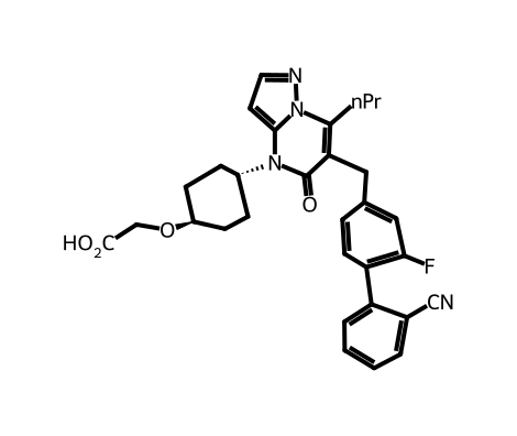 CCCc1c(Cc2ccc(-c3ccccc3C#N)c(F)c2)c(=O)n([C@H]2CC[C@H](OCC(=O)O)CC2)c2ccnn12